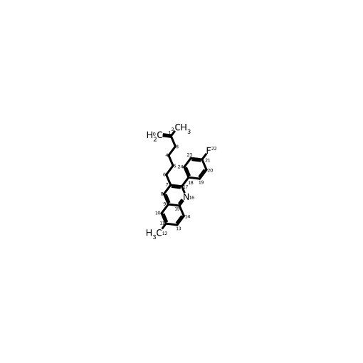 C=C(C)CCCCc1cc2cc(C)ccc2nc1-c1ccc(F)cc1